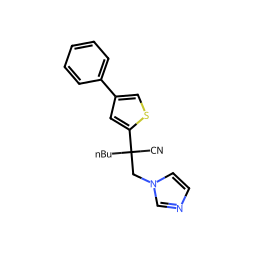 CCCCC(C#N)(Cn1ccnc1)c1cc(-c2ccccc2)cs1